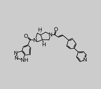 O=C(/C=C/c1ccc(-c2ccncc2)cc1)N1C[C@@H]2CN(C(=O)c3ccc4[nH]nnc4c3)C[C@H]2C1